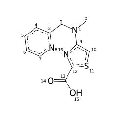 CN(Cc1ccccn1)c1csc(C(=O)O)n1